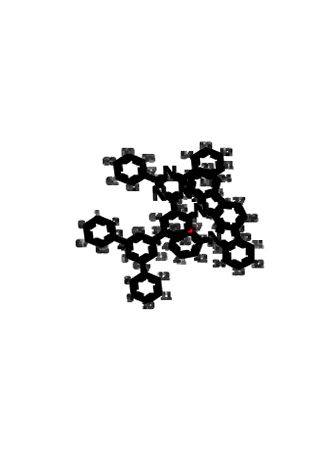 c1ccc(-c2cc(-c3ccccc3)cc(-c3ccc(-n4c5ccccc5c5ccc6c7ccccc7n(-c7ccccc7)c6c54)c(-c4nc(-c5ccccc5)nc(-c5ccccc5)n4)c3)c2)cc1